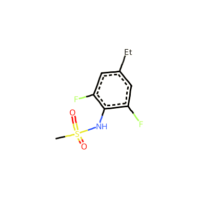 CCc1cc(F)c(NS(C)(=O)=O)c(F)c1